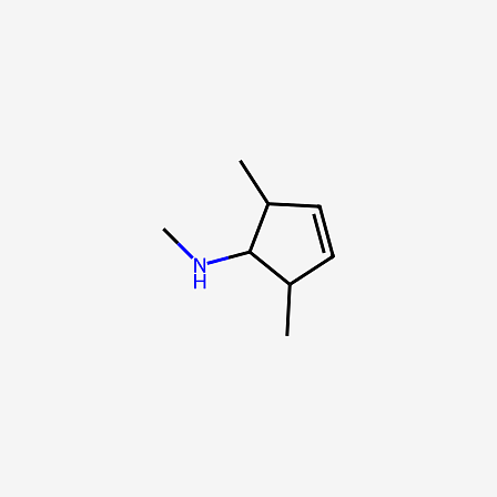 CNC1C(C)C=CC1C